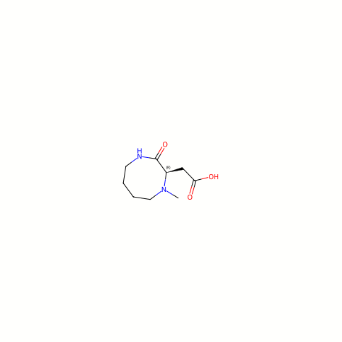 CN1CCCCNC(=O)[C@H]1CC(=O)O